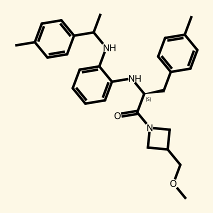 COCC1CN(C(=O)[C@H](Cc2ccc(C)cc2)Nc2ccccc2NC(C)c2ccc(C)cc2)C1